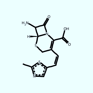 Cc1ncc(/C=C\C2=C(C(=O)O)N3C(=O)C(N)[C@H]3SC2)s1